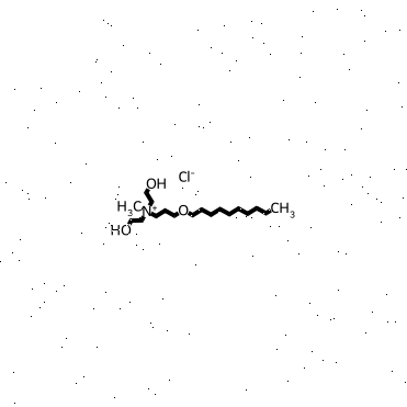 CCCCCCCCCCOCCC[N+](C)(CCO)CCO.[Cl-]